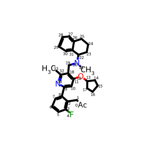 CC(=O)Cc1c(F)cccc1-c1cc(OC2CCCC2)c(CN(C)C2CCCc3ccccc32)c(C)n1